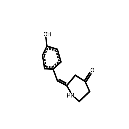 O=C1CCNC(=Cc2ccc(O)cc2)C1